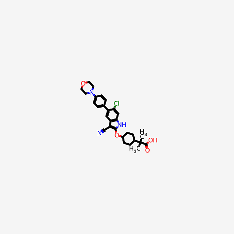 CC(C)(C(=O)O)C1CCC(Oc2[nH]c3cc(Cl)c(-c4ccc(N5CCOCC5)cc4)cc3c2C#N)CC1